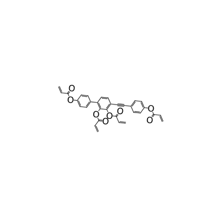 C=CC(=O)Oc1ccc(C#Cc2ccc(-c3ccc(OC(=O)C=C)cc3)c(OC(=O)C=C)c2OC(=O)C=C)cc1